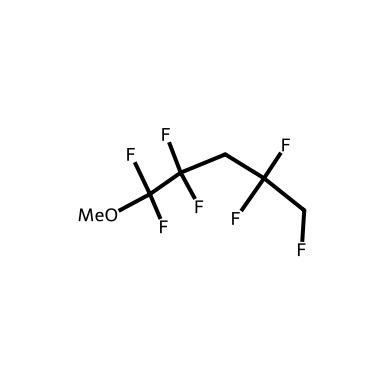 COC(F)(F)C(F)(F)CC(F)(F)CF